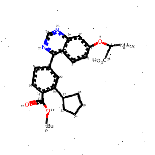 CCCCCCC(Oc1ccc2c(-c3ccc(C(=O)OC(C)(C)C)c(C4CCCC4)c3)ncnc2c1)C(=O)O